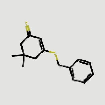 CC1(C)CC(=S)C=C(SCc2ccccc2)C1